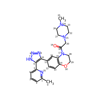 Cc1cccc(-c2[nH]nnc2-c2ccc3c(c2)N(C(=O)CN2CCN(C)CC2)CCO3)n1